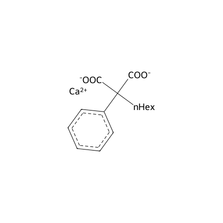 CCCCCCC(C(=O)[O-])(C(=O)[O-])c1ccccc1.[Ca+2]